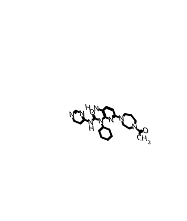 CC(=O)N1CCCN(c2ccc(N)c(N(C(=O)NC3=NC=NCC3)C3CCCCC3)n2)CC1